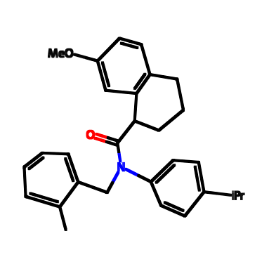 COc1ccc2c(c1)C(C(=O)N(Cc1ccccc1C)c1ccc(C(C)C)cc1)CCC2